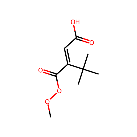 COOC(=O)C(=CC(=O)O)C(C)(C)C